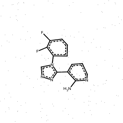 Nc1ncccc1-c1nncn1-c1cccc(F)c1F